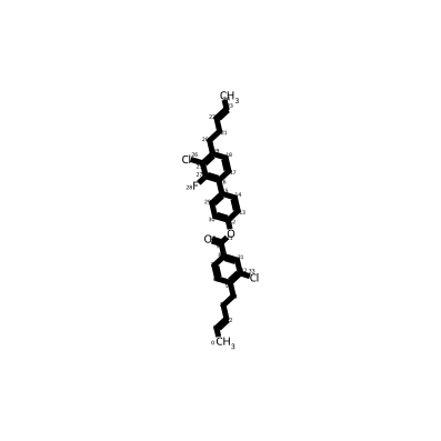 C/C=C/CCc1ccc(C(=O)Oc2ccc(-c3ccc(CC/C=C/C)c(Cl)c3F)cc2)cc1Cl